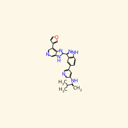 C=C(Nc1cncc(-c2ccc3[nH]nc(-c4nc5c(-c6ccoc6)cncc5[nH]4)c3c2)c1)C(C)C